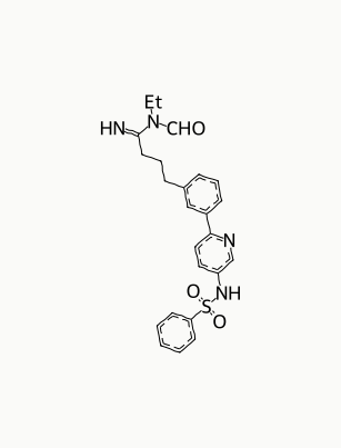 CCN(C=O)C(=N)CCCc1cccc(-c2ccc(NS(=O)(=O)c3ccccc3)cn2)c1